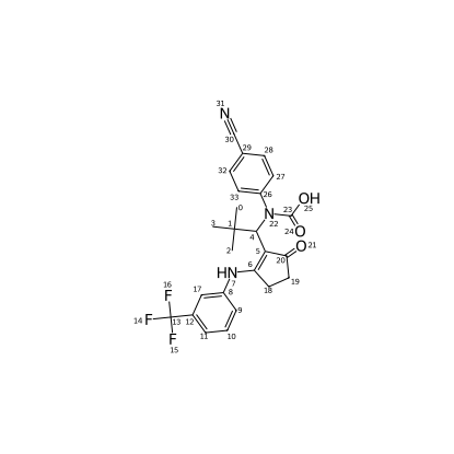 CC(C)(C)C(C1=C(Nc2cccc(C(F)(F)F)c2)CCC1=O)N(C(=O)O)c1ccc(C#N)cc1